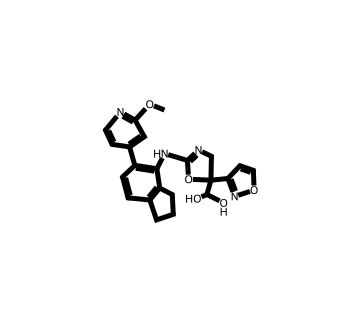 COc1cc(-c2ccc3c(c2NC2=NCC(c4ccon4)(C(O)O)O2)CCC3)ccn1